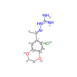 C/C(=N\NC(=N)N)c1ccc2c(c1)OCCO2.Cl